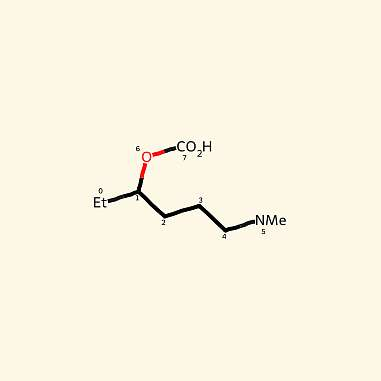 CCC(CCCNC)OC(=O)O